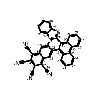 N#Cc1c(C#N)c(C#N)c2cc3c(cc2c1C#N)c1c2ccccc2c2ccccc2c1c1nc2ccccc2n31